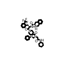 O=C(CN1CN(c2ccccc2)C2(CCN(C(=O)[C@@H](Cc3ccccc3C(F)(F)F)NC(=O)[C@H]3Cc4ccccc4CN3)CC2)C1=O)NC1CCCCC1